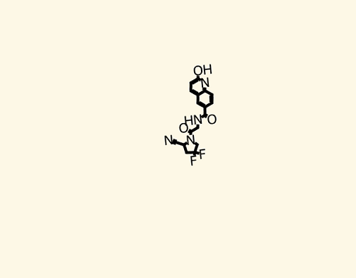 N#CC1CC(F)(F)CN1C(=O)CNC(=O)c1ccc2nc(O)ccc2c1